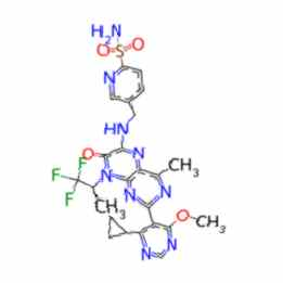 COc1ncnc(C2CC2)c1-c1nc(C)c2nc(NCc3ccc(S(N)(=O)=O)nc3)c(=O)n([C@@H](C)C(F)(F)F)c2n1